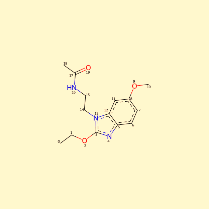 CCOc1nc2ccc(OC)cc2n1CCNC(C)=O